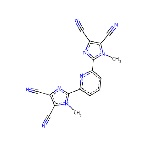 Cn1c(-c2cccc(-c3nc(C#N)c(C#N)n3C)n2)nc(C#N)c1C#N